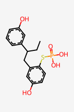 CCC(Cc1cc(O)ccc1SP(=O)(O)O)c1cccc(O)c1